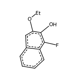 CCOc1cc2ccccc2c(F)c1O